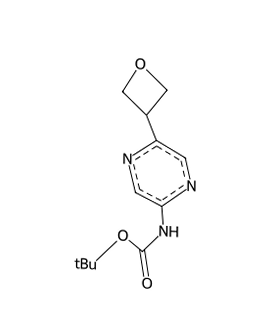 CC(C)(C)OC(=O)Nc1cnc(C2COC2)cn1